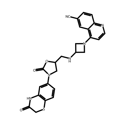 N#Cc1ccc2nccc(N3CC(NCC4CN(c5ccc6c(c5)NC(=O)CS6)C(=O)O4)C3)c2c1